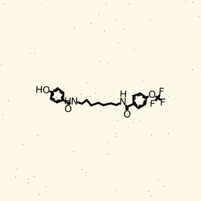 O=C(NCCCCCCCNC(=O)c1ccc(OC(F)(F)F)cc1)c1ccc(O)cc1